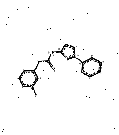 Cc1cccc(CC(=O)Nc2ccn(-c3ccccc3)n2)c1